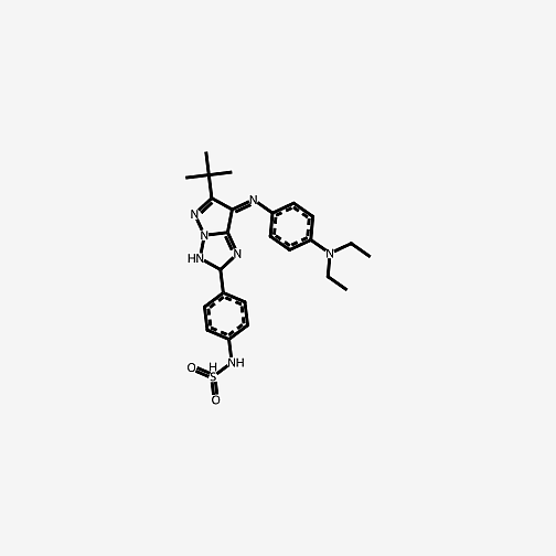 CCN(CC)c1ccc(/N=C2\C3=NC(c4ccc(N[SH](=O)=O)cc4)NN3N=C2C(C)(C)C)cc1